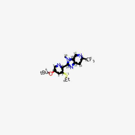 CCSc1cc(OC(C)(C)C)cnc1-c1nc2cc(C(F)(F)F)ncc2n1C